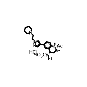 CCN(C(=O)O)C1C[C@H](C)[N@+](C)(C(C)=O)c2ccc(-c3cnn(CCN4CCCCC4)c3)cc21.Cl